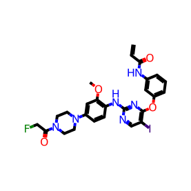 C=CC(=O)Nc1cccc(Oc2nc(Nc3ccc(N4CCN(C(=O)CF)CC4)cc3OC)ncc2I)c1